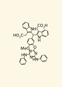 COc1ccc(C(c2[nH]c3ccccc3c2CC(=O)O)c2[nH]c3ccccc3c2CC(=O)O)cc1Oc1nc(Nc2ccccc2)nc(Nc2ccccc2)n1